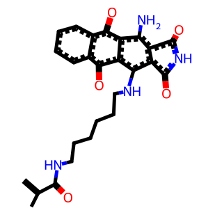 C=C(C)C(=O)NCCCCCCNc1c2c(=O)[nH]c(=O)c2c(N)c2c(=O)c3ccccc3c(=O)c12